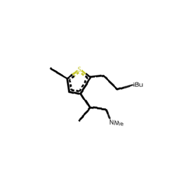 CCC(C)CCc1sc(C)cc1C(C)CNC